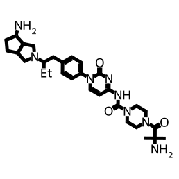 CCC(Cc1ccc(-n2ccc(NC(=O)N3CCN(C(=O)C(C)(C)N)CC3)nc2=O)cc1)N1CC2CCC(N)C2C1